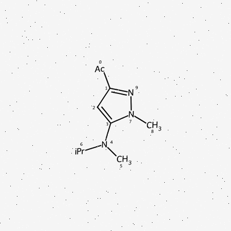 CC(=O)c1cc(N(C)C(C)C)n(C)n1